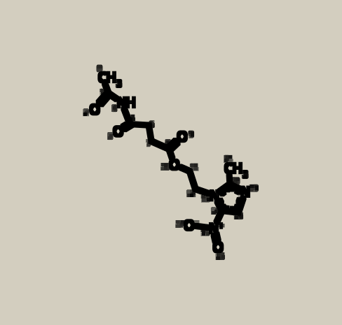 CC(=O)NC(=O)CCC(=O)OCCn1c([N+](=O)[O-])cnc1C